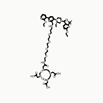 CCOc1ccc(C(=O)N2CCN(c3ccc(-c4cccnc4OCC)nc3CNCCCOCCOCCOCCOCCNC(=O)CN3CCN(CC(=O)O)CCN(CC(=O)O)CCN(CC(=O)O)CC3)[C@H](CC)C2)c(C(F)(F)F)n1